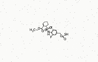 CCOC(=O)C1=CCCCC1S(=O)(=O)Nc1c(F)cc(COC(=O)S)cc1F